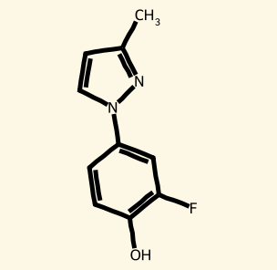 Cc1ccn(-c2ccc(O)c(F)c2)n1